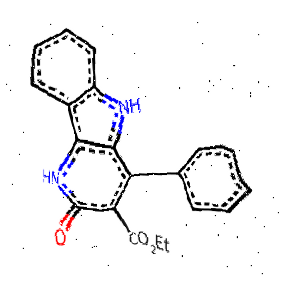 CCOC(=O)c1c(-c2ccccc2)c2[nH]c3ccccc3c2[nH]c1=O